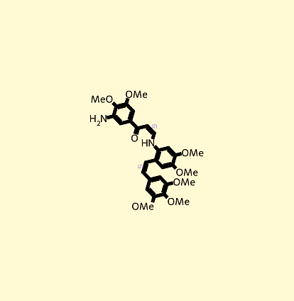 COc1cc(/C=C\c2cc(OC)c(OC)c(OC)c2)c(N/C=C\C(=O)c2cc(N)c(OC)c(OC)c2)cc1OC